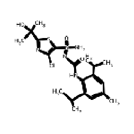 Cc1cc(C(C)C)c(NC(=O)N=S(N)(=O)c2sc(C(C)(C)O)nc2Cl)c(C(C)C)c1